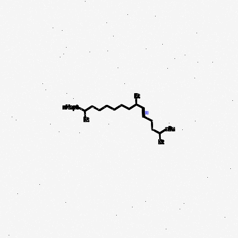 [CH2]CCCCCCC(CC)CCCCCCC(/C=C/CCC(CC)CCC[CH2])CC